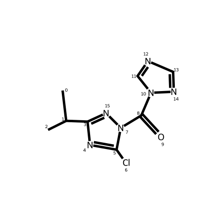 CC(C)c1nc(Cl)n(C(=O)n2cncn2)n1